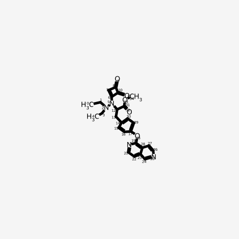 CCN(CC)N(c1cc(=O)c1=O)C(Cc1ccc(Oc2nccc3cnccc23)cc1)C(=O)OC